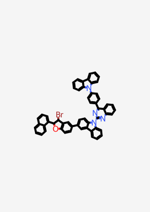 BrC1c2cc(-c3ccc4c(c3)c3ccccc3n4-c3nc(-c4ccc(-n5c6ccccc6c6ccccc65)cc4)c4ccccc4n3)ccc2OC1c1cccc2ccccc12